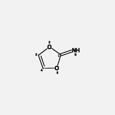 N=c1occo1